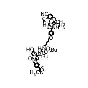 Cc1ncsc1-c1ccc(CNC(=O)[C@@H]2C[C@@H](O)CN2C(=O)[C@@H](NC(=O)CN(CCCCCOc2ccc(C(=O)N[C@H]3C(C)(C)[C@H](Oc4ccc(C#N)c(Cl)c4)C3(C)C)cc2)C(=O)OC(C)(C)C)C(C)(C)C)cc1